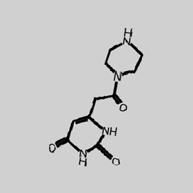 O=C(Cc1cc(=O)[nH]c(=O)[nH]1)N1CCNCC1